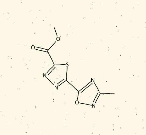 COC(=O)c1nnc(-c2nc(C)no2)s1